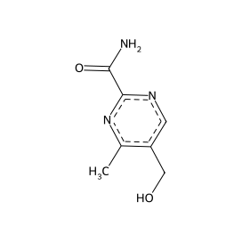 Cc1nc(C(N)=O)ncc1CO